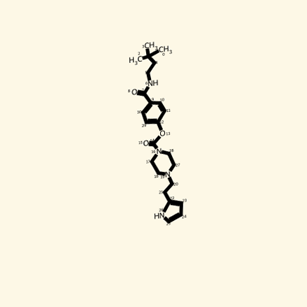 CC(C)(C)CCNC(=O)c1ccc(OC(=O)N2CCN(CCc3ccc[nH]3)CC2)cc1